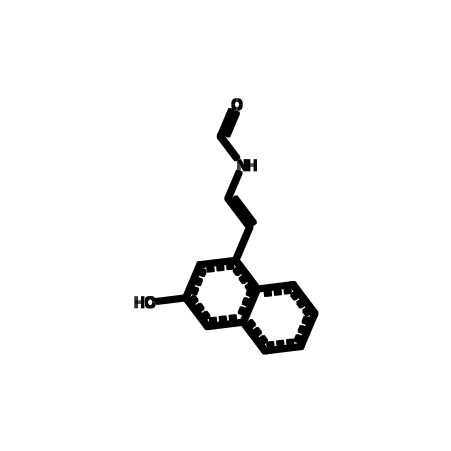 O=CNC=Cc1cc(O)cc2ccccc12